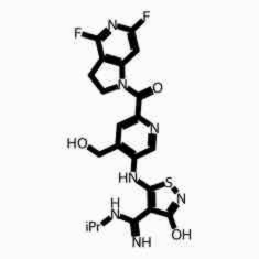 CC(C)NC(=N)c1c(O)nsc1Nc1cnc(C(=O)N2CCc3c2cc(F)nc3F)cc1CO